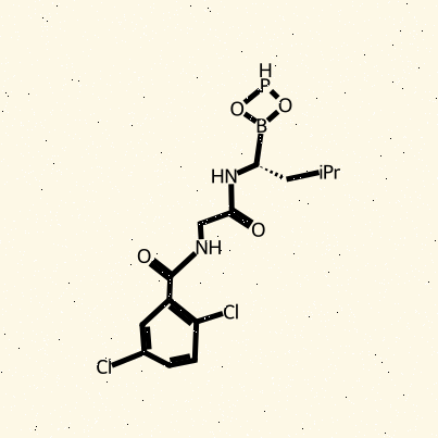 CC(C)C[C@H](NC(=O)CNC(=O)c1cc(Cl)ccc1Cl)B1OPO1